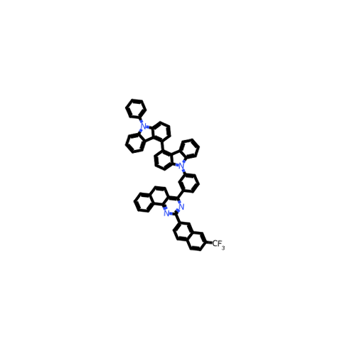 FC(F)(F)c1ccc2ccc(-c3nc(-c4cccc(-n5c6ccccc6c6c(-c7cccc8c7c7ccccc7n8-c7ccccc7)cccc65)c4)c4ccc5ccccc5c4n3)cc2c1